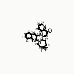 O=c1ccn(-c2cc3ccccc3nc2N2CCCC(F)(F)CC2)c2cccnc12